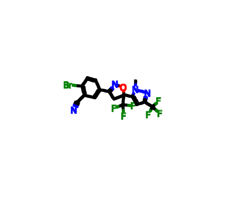 Cn1nc(C(F)(F)F)cc1C1(C(F)(F)F)CC(c2ccc(Br)c(C#N)c2)=NO1